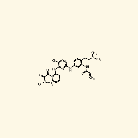 C=CC(=O)Nc1cc(Nc2ncc(Cl)c(Nc3ccccc3C(=O)C(=O)N(C)C)n2)ccc1CCN(C)C